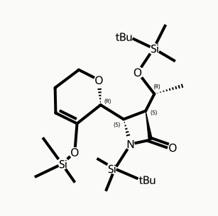 C[C@@H](O[Si](C)(C)C(C)(C)C)[C@H]1C(=O)N([Si](C)(C)C(C)(C)C)[C@@H]1[C@H]1OCCC=C1O[Si](C)(C)C